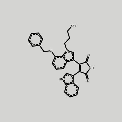 O=C1NC(=O)C(c2cn(CCCO)c3c(OCc4ccccc4)cccc23)=C1c1c[nH]c2ccccc12